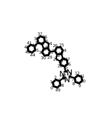 c1ccc(-c2nc(-c3ccccc3)nc(-c3ccc4c(c3)Cc3c-4cccc3-c3cccc4c3Cc3cccc(-c5ccccc5)c3-4)n2)cc1